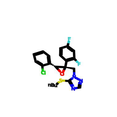 CCCCSc1ncnn1C[C@@]1(c2ccc(F)cc2F)O[C@@H]1c1ccccc1Cl